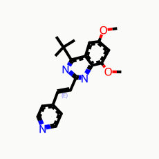 COc1cc(OC)c2nc(/C=C/c3ccncc3)nc(C(C)(C)C)c2c1